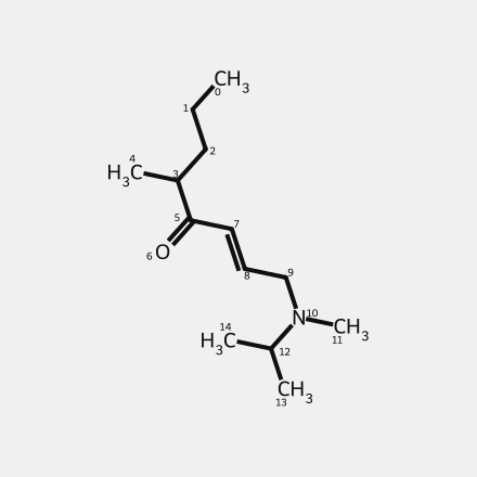 CCCC(C)C(=O)/C=C/CN(C)C(C)C